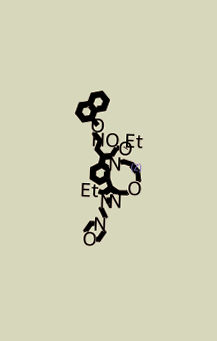 CCOC(O)c1c(CCCOc2cccc3ccccc23)c2cccc3c2n1C/C=C\COCc1nn(CCN2CCOCC2)c(CC)c1-3